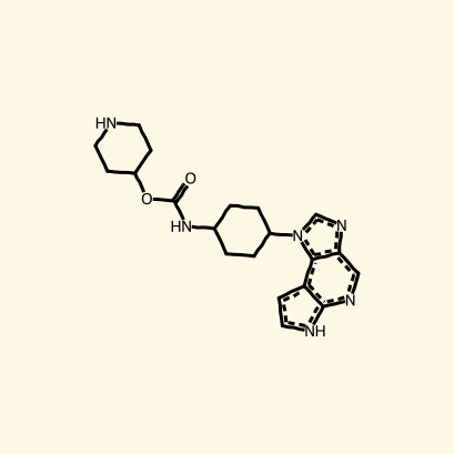 O=C(NC1CCC(n2cnc3cnc4[nH]ccc4c32)CC1)OC1CCNCC1